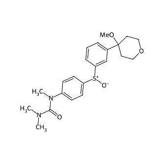 COC1(c2cccc([S+]([O-])c3ccc(N(C)C(=O)N(C)C)cc3)c2)CCOCC1